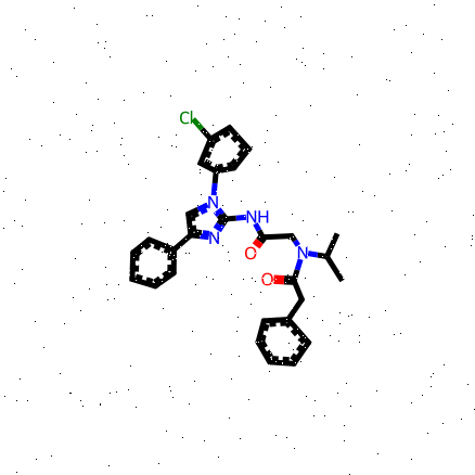 CC(C)N(CC(=O)Nc1nc(-c2ccccc2)cn1-c1cccc(Cl)c1)C(=O)Cc1ccccc1